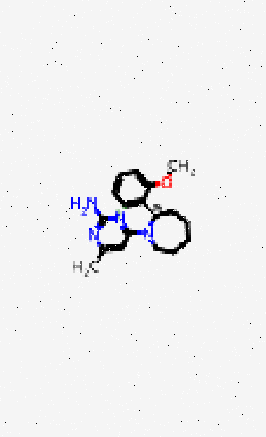 COc1cccc(F)c1[C@H]1CCCCCN1c1cc(C)nc(N)n1